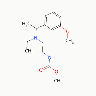 CCN(CCNC(=O)OC)C(C)c1cccc(OC)c1